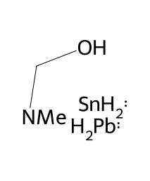 CNCO.[PbH2].[SnH2]